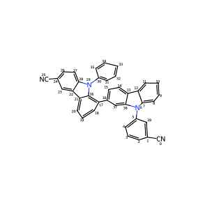 N#Cc1cccc(-n2c3ccccc3c3ccc(-c4cccc5c6cc(C#N)ccc6n(-c6ccccc6)c45)cc32)c1